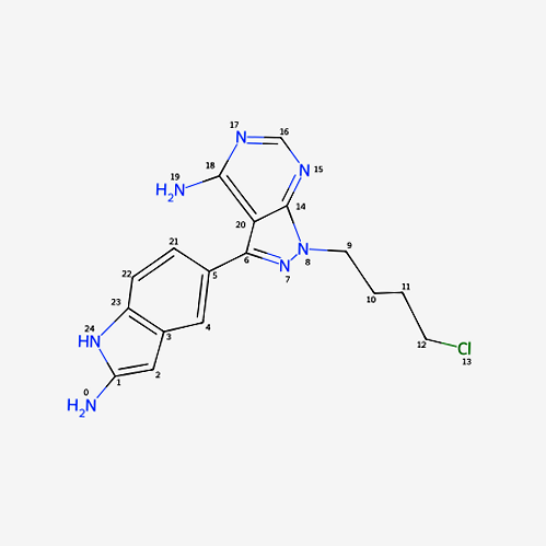 Nc1cc2cc(-c3nn(CCCCCl)c4ncnc(N)c34)ccc2[nH]1